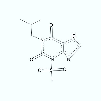 CC(C)Cn1c(=O)c2[nH]cnc2n(S(C)(=O)=O)c1=O